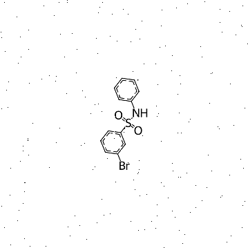 O=S(=O)(Nc1c[c]ccc1)c1cccc(Br)c1